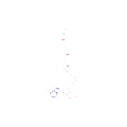 CC(C)(COP(=O)(O)OP(=O)(O)OCC1OC(C)(n2cnc3c(N)ncnc32)C(O)C1OP(=O)(O)O)C(O)C(=O)NCCC(=O)NCCSC(=O)CC1(O)SCCS1